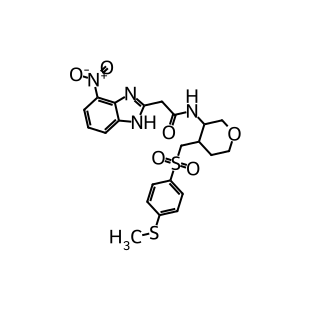 CSc1ccc(S(=O)(=O)CC2CCOCC2NC(=O)Cc2nc3c([N+](=O)[O-])cccc3[nH]2)cc1